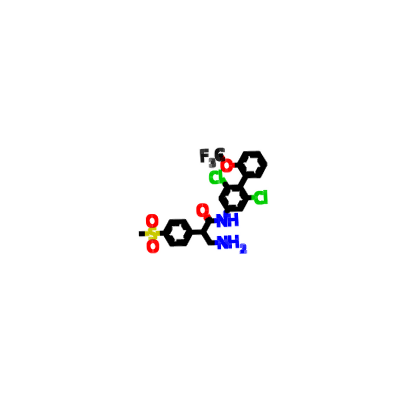 CS(=O)(=O)c1ccc(C(CN)C(=O)Nc2cc(Cl)c(-c3ccccc3OC(F)(F)F)c(Cl)c2)cc1